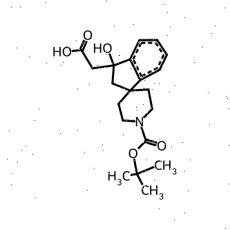 CC(C)(C)OC(=O)N1CCC2(CC1)CC(O)(CC(=O)O)c1ccccc12